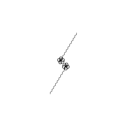 CCCCCCCCCCCCCCCCCCOP1(=O)OCC2(CO1)COP(=O)(OCCCCCCCCCCCCCCCCCC)OC2